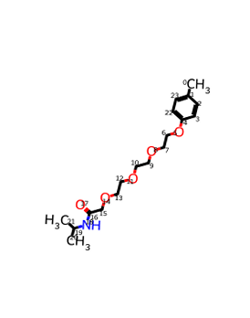 Cc1ccc(OCCOCCOCCOCC(=O)NC(C)C)cc1